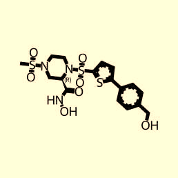 CS(=O)(=O)N1CCN(S(=O)(=O)c2ccc(-c3ccc(CO)cc3)s2)[C@@H](C(=O)NO)C1